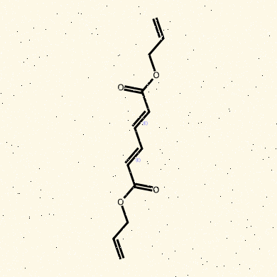 C=CCOC(=O)/C=C/C=C/C(=O)OCC=C